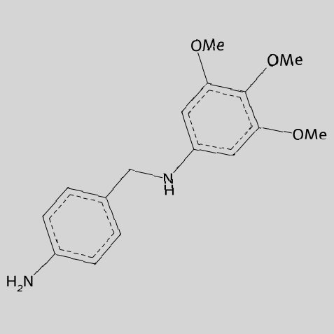 COc1cc(NCc2ccc(N)cc2)cc(OC)c1OC